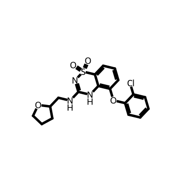 O=S1(=O)N=C(NCC2CCCO2)Nc2c(Oc3ccccc3Cl)cccc21